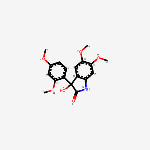 COc1ccc(C2(O)C(=O)Nc3cc(OC)c(OC)cc32)c(OC)c1